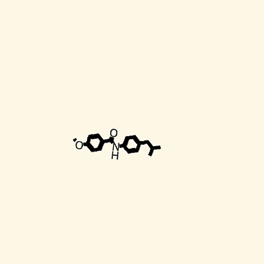 COc1ccc(C(=O)Nc2ccc(CC(C)C)cc2)cc1